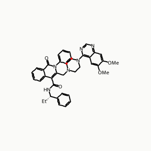 CC[C@H](NC(=O)c1c(CN2CCN(c3ncnc4cc(OC)c(OC)cc34)CC2)n(-c2ccccc2)c(=O)c2ccccc12)c1ccccc1